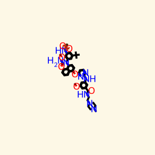 COc1cc(Nc2nccc(Oc3ccc(N(C(N)=O)c4cc(C(C)(C)C)cc(NS(C)(=O)=O)c4OC)c4ccccc34)n2)cc(C(=O)NCCN2CCN(C)CC2)c1